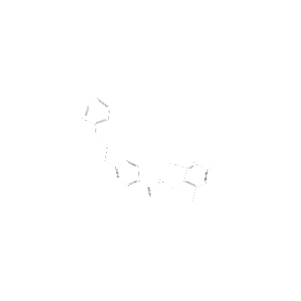 Cc1cc(C)c(CNC(=O)c2ccc(CCOc3ccccn3)cc2)c(O)n1